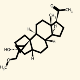 COC[C@@]1(O)CC[C@@]2(C3CC3)[C@H](CC[C@H]3[C@@H]4CC[C@H](C(C)=O)[C@@]4(C)CC[C@@H]32)C1